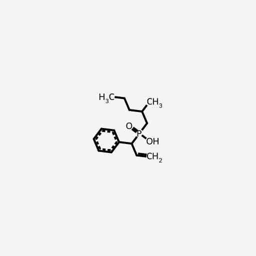 C=CC(c1ccccc1)P(=O)(O)CC(C)CCC